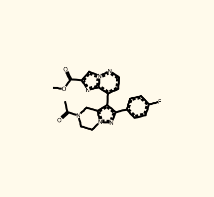 COC(=O)c1cn2nccc(-c3c(-c4ccc(F)cc4)nn4c3CN(C(C)=O)CC4)c2n1